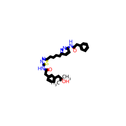 CC(C)(O)Cc1cccc(CC(=O)Nc2nnc(CCCCc3ccc(NC(=O)Cc4ccccc4)nn3)s2)c1